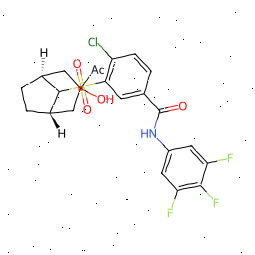 CC(=O)C1(O)C[C@@H]2CC[C@@H](C1)C2S(=O)(=O)c1cc(C(=O)Nc2cc(F)c(F)c(F)c2)ccc1Cl